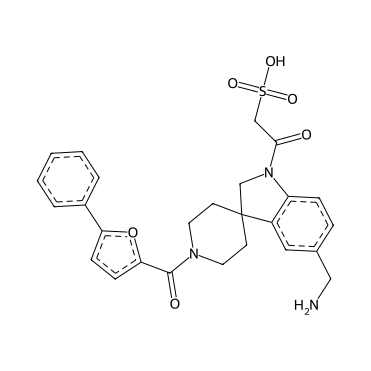 NCc1ccc2c(c1)C1(CCN(C(=O)c3ccc(-c4ccccc4)o3)CC1)CN2C(=O)CS(=O)(=O)O